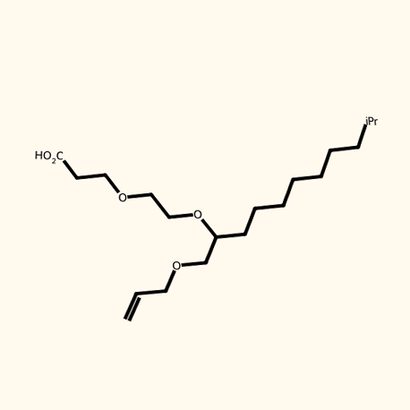 C=CCOCC(CCCCCCCC(C)C)OCCOCCC(=O)O